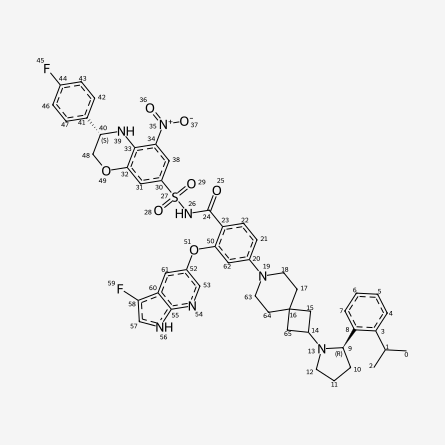 CC(C)c1ccccc1[C@H]1CCCN1C1CC2(CCN(c3ccc(C(=O)NS(=O)(=O)c4cc5c(c([N+](=O)[O-])c4)N[C@@H](c4ccc(F)cc4)CO5)c(Oc4cnc5[nH]cc(F)c5c4)c3)CC2)C1